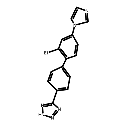 CCc1cc(-n2ccnc2)ccc1-c1ccc(-c2nn[nH]n2)cc1